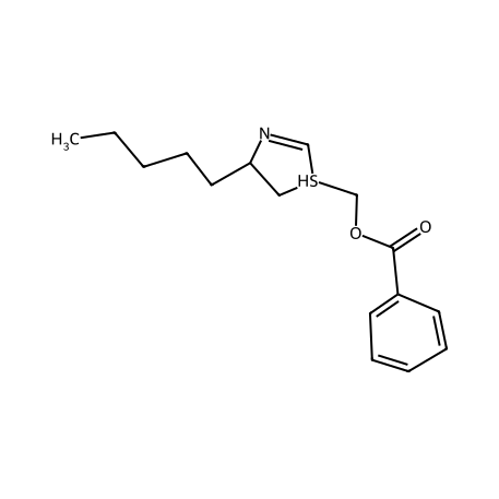 CCCCCC1C[SH](COC(=O)c2ccccc2)C=N1